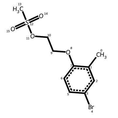 Cc1cc(Br)ccc1OCCOS(C)(=O)=O